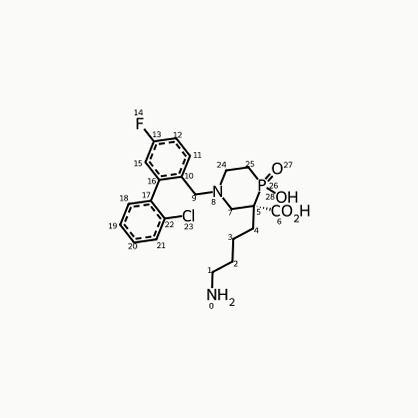 NCCCC[C@@]1(C(=O)O)CN(Cc2ccc(F)cc2-c2ccccc2Cl)CCP1(=O)O